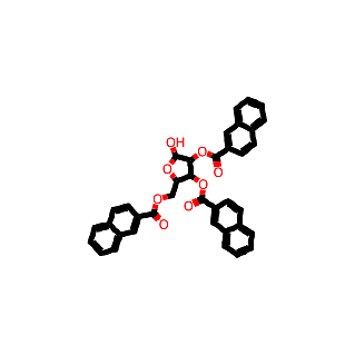 O=C(OCC1OC(O)C(OC(=O)c2ccc3ccccc3c2)C1OC(=O)c1ccc2ccccc2c1)c1ccc2ccccc2c1